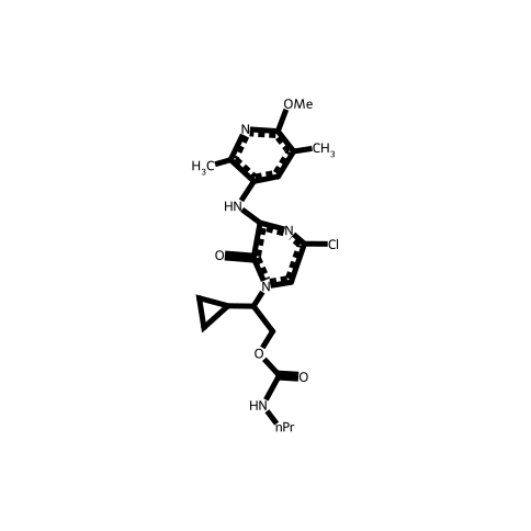 CCCNC(=O)OCC(C1CC1)n1cc(Cl)nc(Nc2cc(C)c(OC)nc2C)c1=O